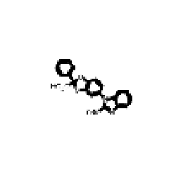 CCCCc1nc2ccccc2n1-c1ccc2c(c1)OC(C(=O)O)(c1ccccc1)O2